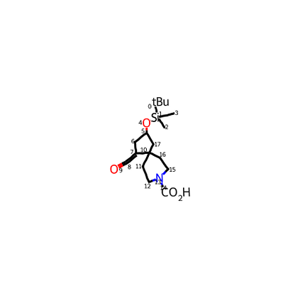 CC(C)(C)[Si](C)(C)OC1CC(=C=O)C2(CCN(C(=O)O)CC2)C1